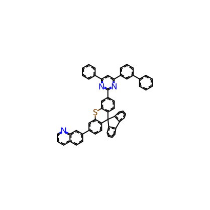 c1ccc(-c2cccc(-c3cc(-c4ccccc4)nc(-c4ccc5c(c4)Sc4cc(-c6ccc7cccnc7c6)ccc4C54c5ccccc5-c5ccccc54)n3)c2)cc1